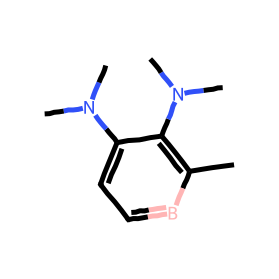 Cc1bccc(N(C)C)c1N(C)C